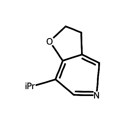 CC(C)c1cncc2c1OCC2